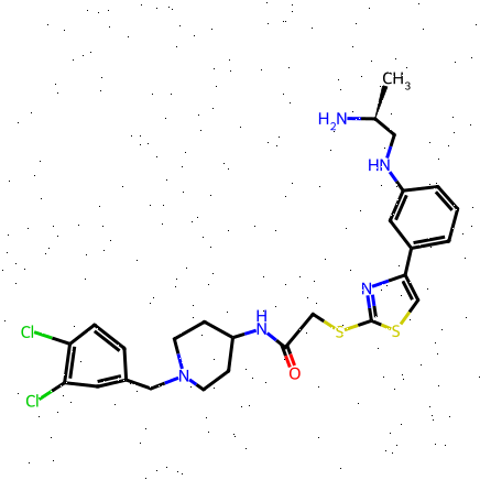 C[C@H](N)CNc1cccc(-c2csc(SCC(=O)NC3CCN(Cc4ccc(Cl)c(Cl)c4)CC3)n2)c1